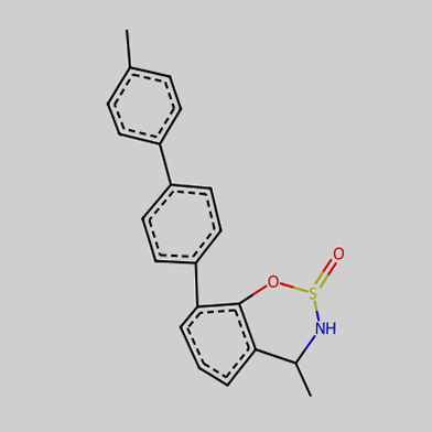 Cc1ccc(-c2ccc(-c3cccc4c3OS(=O)NC4C)cc2)cc1